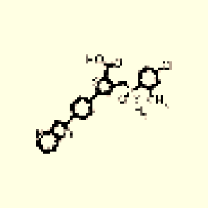 Cc1cc(Cl)ccc1P(C)(=O)Cc1cc(-c2ccc(-c3cc4ncccc4o3)cc2)sc1C(=O)O